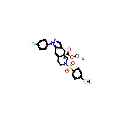 COC(=O)[C@]12Cc3cnn(-c4ccc(F)cc4)c3C=C1CCN(S(=O)(=O)c1ccc(C)cc1)C2